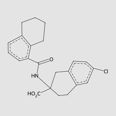 O=C(NC1(C(=O)O)CCc2cc(Cl)ccc2C1)c1cccc2c1CCCC2